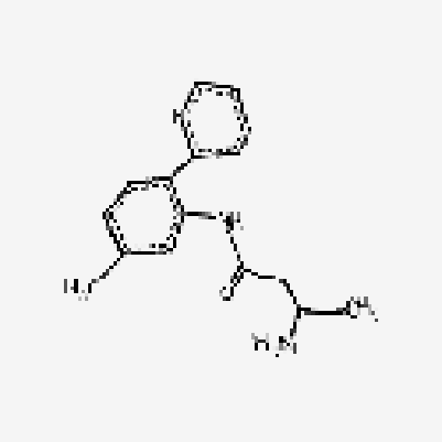 Cc1ccc(-c2ccccn2)c(NC(=O)CC(C)N)c1